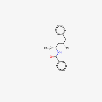 CC(C)[C@@H](Cc1ccccc1)C[C@H](NC(=O)c1ccccc1)C(=O)O